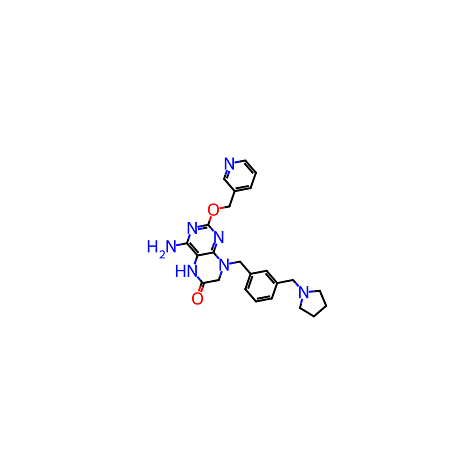 Nc1nc(OCc2cccnc2)nc2c1NC(=O)CN2Cc1cccc(CN2CCCC2)c1